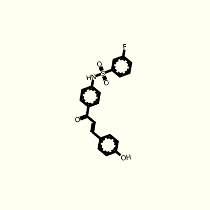 O=C(C=Cc1ccc(O)cc1)c1ccc(NS(=O)(=O)c2cccc(F)c2)cc1